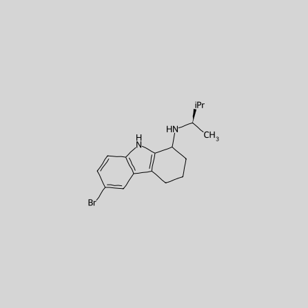 CC(C)[C@@H](C)NC1CCCc2c1[nH]c1ccc(Br)cc21